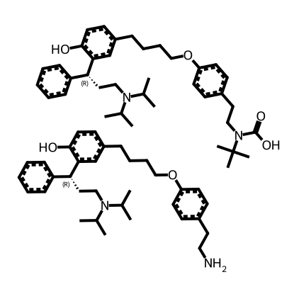 CC(C)N(CC[C@H](c1ccccc1)c1cc(CCCCOc2ccc(CCN(C(=O)O)C(C)(C)C)cc2)ccc1O)C(C)C.CC(C)N(CC[C@H](c1ccccc1)c1cc(CCCCOc2ccc(CCN)cc2)ccc1O)C(C)C